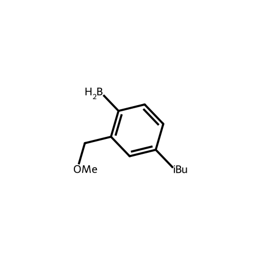 Bc1ccc(C(C)CC)cc1COC